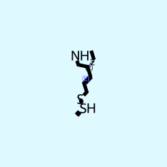 C=[SH]SC/C=C/[C@@H](CC)CN